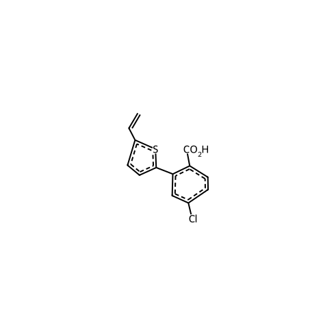 C=Cc1ccc(-c2cc(Cl)ccc2C(=O)O)s1